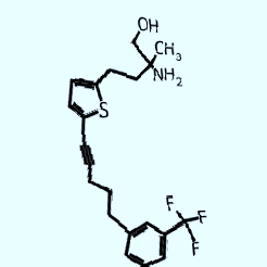 CC(N)(CO)CCc1ccc(C#CCCCc2cccc(C(F)(F)F)c2)s1